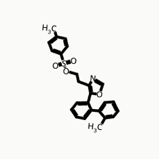 Cc1ccc(S(=O)(=O)OCCc2ncoc2-c2ccccc2-c2ccccc2C)cc1